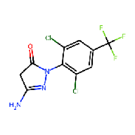 NC1=NN(c2c(Cl)cc(C(F)(F)F)cc2Cl)C(=O)C1